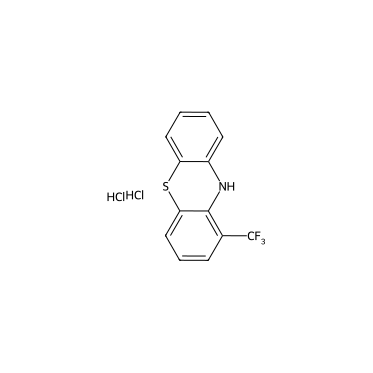 Cl.Cl.FC(F)(F)c1cccc2c1Nc1ccccc1S2